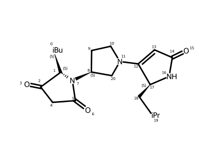 CC[C@H](C)[C@H]1C(=O)CC(=O)N1[C@H]1CCN(C2=CC(=O)N[C@H]2CC(C)C)C1